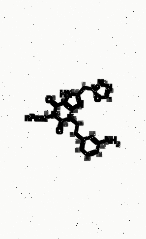 CCCCCn1c(=O)c2[nH]c(Cc3nnco3)nc2n(CCc2cccc(N)c2)c1=O